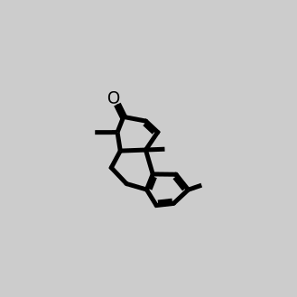 Cc1ccc2c(c1)C1(C)C=CC(=O)C(C)C1CC2